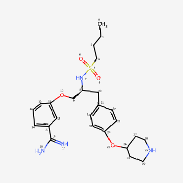 CCCCS(=O)(=O)N[C@H](COc1cccc(C(=N)N)c1)Cc1ccc(OC2CCNCC2)cc1